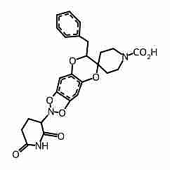 O=C1CCC(N2Oc3cc4c(cc3O2)OC2(CCN(C(=O)O)CC2)C(Cc2ccccc2)O4)C(=O)N1